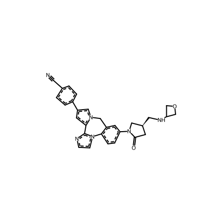 N#Cc1ccc(-c2cc3n(c2)Cc2cc(N4C[C@@H](CNC5COC5)CC4=O)ccc2-n2ccnc2-3)cc1